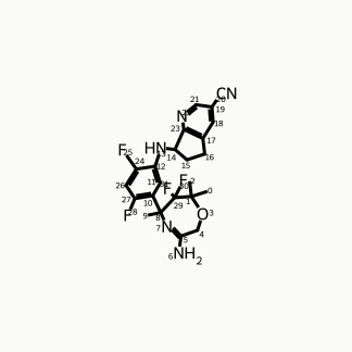 CC1(C)OCC(N)=NC(C)(c2cc(NC3CCc4cc(C#N)cnc43)c(F)cc2F)C1(F)F